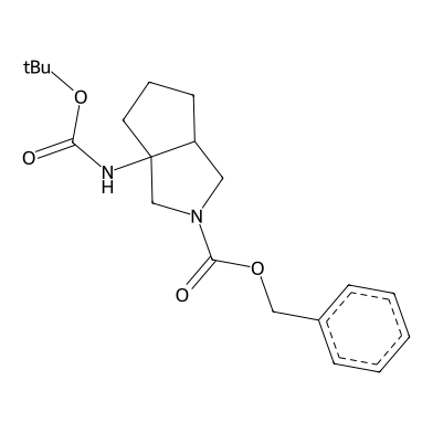 CC(C)(C)OC(=O)NC12CCCC1CN(C(=O)OCc1ccccc1)C2